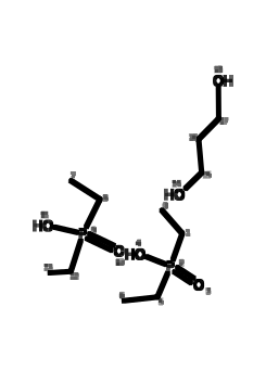 CCP(=O)(O)CC.CCP(=O)(O)CC.OCCCO